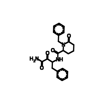 NC(=O)C(=O)C(Cc1ccccc1)NC(=O)C1CCCC(=O)N1Cc1ccccc1